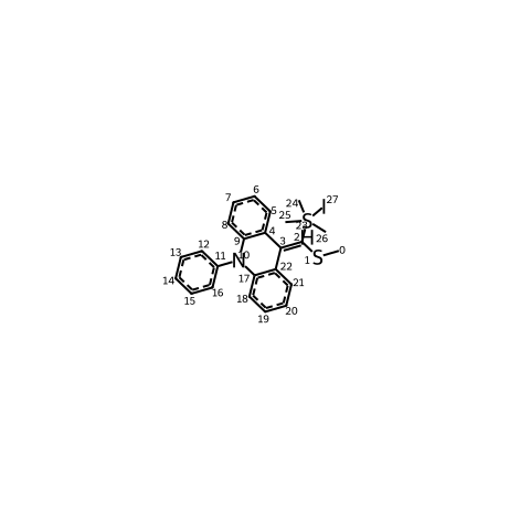 CSC(=C1c2ccccc2N(c2ccccc2)c2ccccc21)[SH](C)(C)(C)I